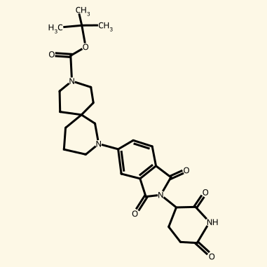 CC(C)(C)OC(=O)N1CCC2(CCCN(c3ccc4c(c3)C(=O)N(C3CCC(=O)NC3=O)C4=O)C2)CC1